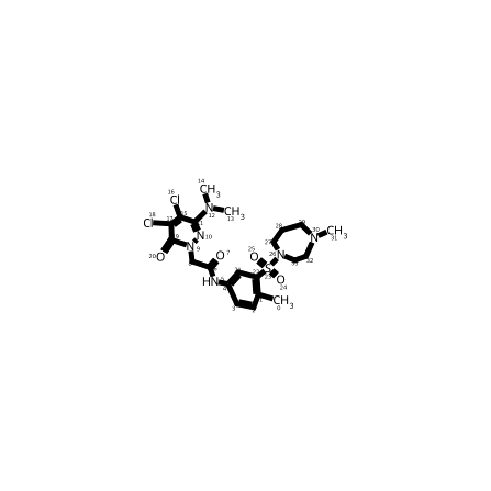 Cc1ccc(NC(=O)Cn2nc(N(C)C)c(Cl)c(Cl)c2=O)cc1S(=O)(=O)N1CCCN(C)CC1